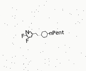 CCCCC[C@H]1CC[C@H](CCc2cnc(F)c(F)c2)CC1